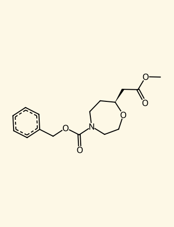 COC(=O)C[C@@H]1CCN(C(=O)OCc2ccccc2)CCO1